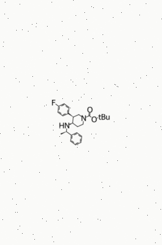 C[C@@H](N[C@@H]1CCN(C(=O)OC(C)(C)C)C[C@@H]1c1ccc(F)cc1)c1ccccc1